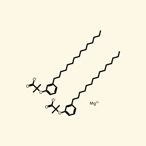 CCCCCCCCCCCCCCCc1cccc(OC(C)(C)C(=O)[O-])c1.CCCCCCCCCCCCCCCc1cccc(OC(C)(C)C(=O)[O-])c1.[Mg+2]